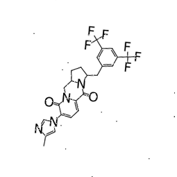 Cc1cn(-c2ccc3n(c2=O)CC2CCC(Cc4cc(C(F)(F)F)cc(C(F)(F)F)c4)N2C3=O)cn1